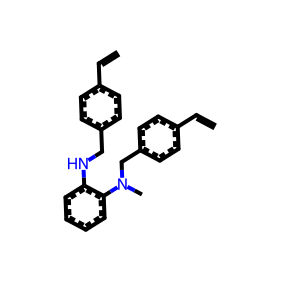 C=Cc1ccc(CNc2ccccc2N(C)Cc2ccc(C=C)cc2)cc1